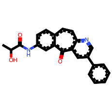 CC(O)C(=O)Nc1ccc2ccc3ncc(-c4ccccc4)cc3c(=O)c2c1